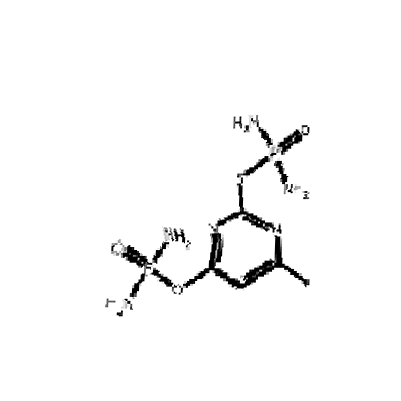 Cc1cc(OP(N)(N)=O)nc(SP(N)(N)=O)n1